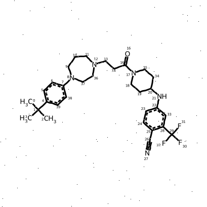 CC(C)(C)c1ccc(N2CCCN(CCC(=O)N3CCC(Nc4ccc(C#N)c(C(F)(F)F)c4)CC3)CC2)cc1